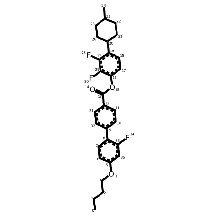 CCCCOc1ccc(-c2ccc(C(=O)Oc3ccc(C4CCC(C)CC4)c(F)c3F)cc2)c(F)c1